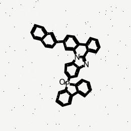 O=P1(c2ccc3c(c2)nc2c4ccccc4c4ccc(-c5ccc6ccccc6c5)cc4n32)c2ccccc2-c2ccccc21